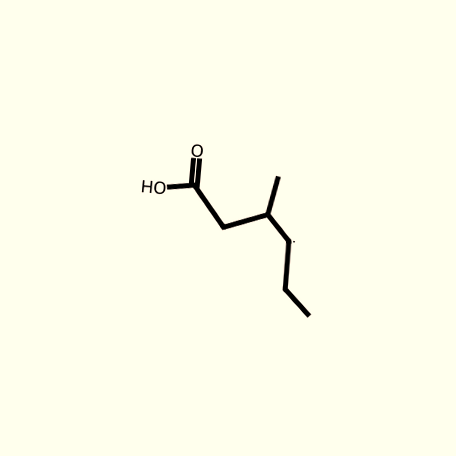 CC[CH]C(C)CC(=O)O